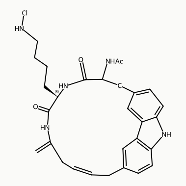 C=C1CC=CCc2ccc3[nH]c4ccc(cc4c3c2)CC(NC(C)=O)C(=O)N[C@H](CCCCNCl)C(=O)N1